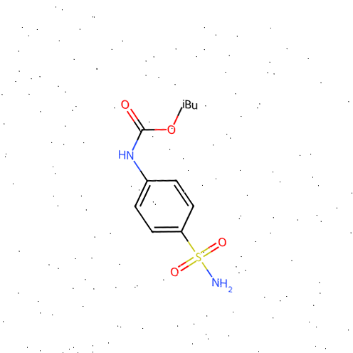 CCC(C)OC(=O)Nc1ccc(S(N)(=O)=O)cc1